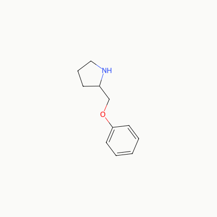 c1ccc(OCC2CCCN2)cc1